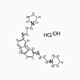 Cl.Cl.c1cc2sc3ccc(SCCCN4CCCCC4)cc3c2cc1SCCCN1CCCCC1